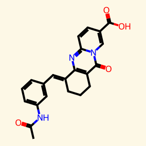 CC(=O)Nc1cccc(C=C2CCCc3c2nc2ccc(C(=O)O)cn2c3=O)c1